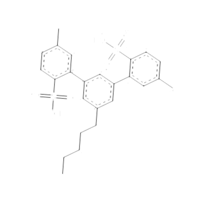 CCCCCc1cc(-c2cc(C)ccc2S(=O)(=O)O)cc(-c2cc(C)ccc2S(=O)(=O)O)c1